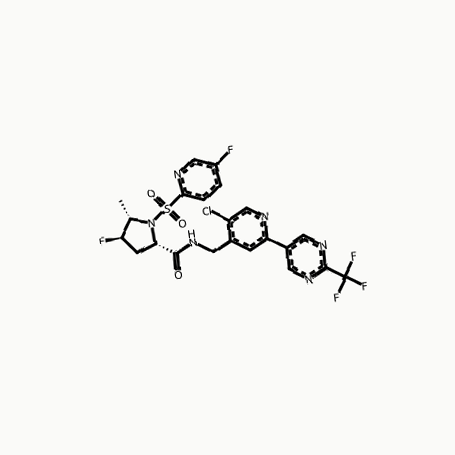 C[C@H]1[C@H](F)C[C@@H](C(=O)NCc2cc(-c3cnc(C(F)(F)F)nc3)ncc2Cl)N1S(=O)(=O)c1ccc(F)cn1